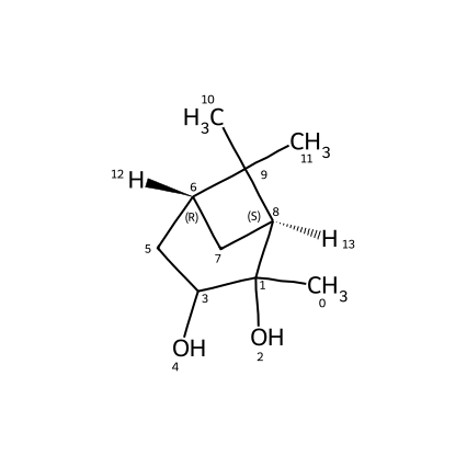 CC1(O)C(O)C[C@H]2C[C@H]1C2(C)C